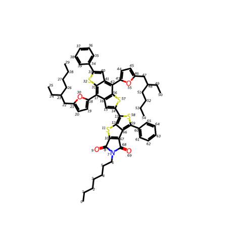 CCCCCCCN1C(=O)c2sc3c(-c4cc5c(-c6ccc(CC(CC)CCCC)o6)c6sc(-c7ccccc7)cc6c(-c6ccc(CC(CC)CCCC)o6)c5s4)sc(-c4ccccc4)c3c2C1=O